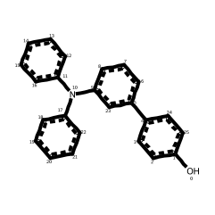 Oc1ccc(-c2cccc(N(c3ccccc3)c3ccccc3)c2)cc1